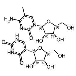 Cc1cn([C@@H]2O[C@H](CO)[C@@H](O)[C@H]2O)c(=O)nc1N.O=c1[nH]cc([C@@H]2O[C@H](CO)[C@@H](O)[C@H]2O)c(=O)[nH]1